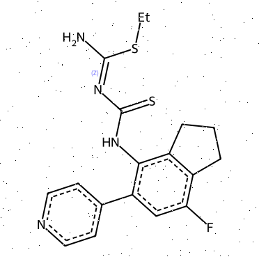 CCS/C(N)=N\C(=S)Nc1c(-c2ccncc2)cc(F)c2c1CCC2